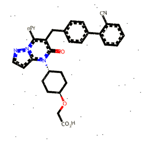 CCCc1c(Cc2ccc(-c3ccccc3C#N)cc2)c(=O)n([C@H]2CC[C@H](OCC(=O)O)CC2)c2ccnn12